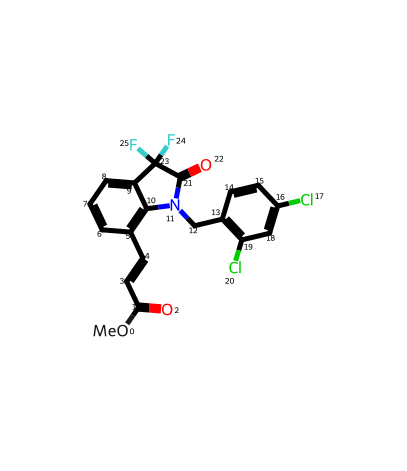 COC(=O)C=Cc1cccc2c1N(Cc1ccc(Cl)cc1Cl)C(=O)C2(F)F